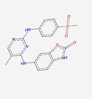 Cc1cnc(Nc2ccc(S(C)(=O)=O)cc2)nc1Nc1ccc2[nH]c(=O)oc2c1